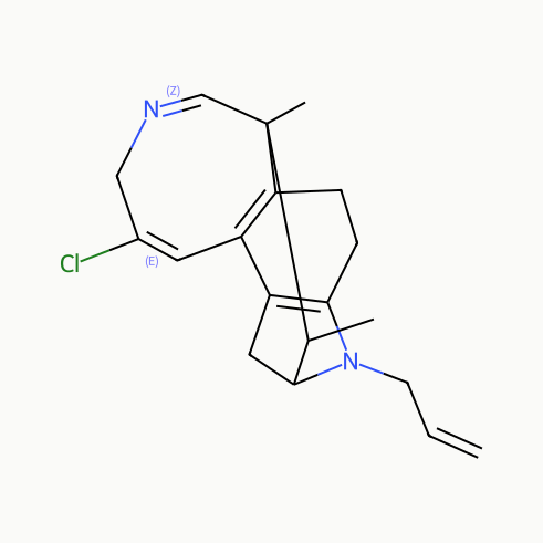 C=CCN1C2=C3CC1C(C)C1(C)/C=N\C/C(Cl)=C\C3=C1CC2